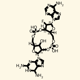 NC1=Nc2c(ncn2[C@@H]2O[C@@H]3COP(=O)(O)O[C@@H]4C(F)[C@H](n5cnc6c(N)ncnc65)O[C@@H]4COP(=O)(O)O[C@H]2C3O)C(N)N1